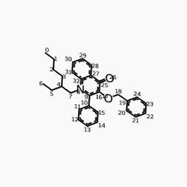 CCCCC(CC)Cn1c(-c2ccccc2)c(OCc2ccccc2)c(=O)c2ccccc21